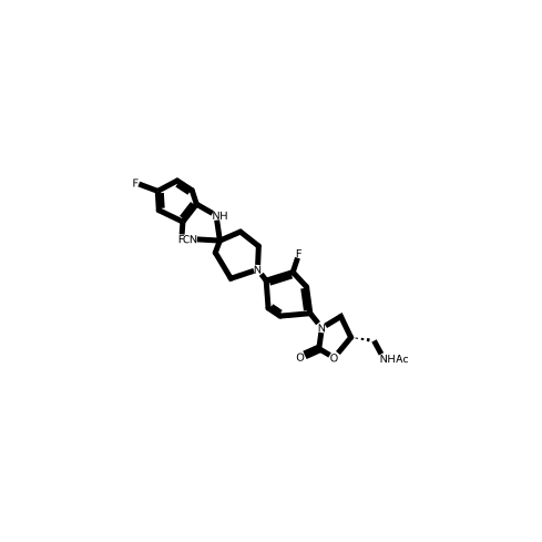 [C-]#[N+]C1(Nc2ccc(F)cc2F)CCN(c2ccc(N3C[C@H](CNC(C)=O)OC3=O)cc2F)CC1